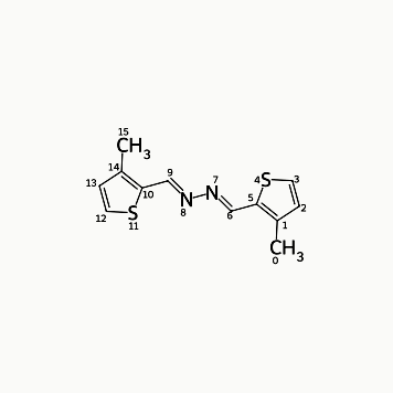 Cc1ccsc1C=NN=Cc1sccc1C